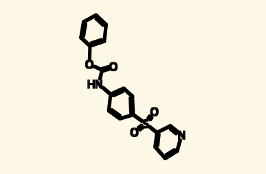 O=C(Nc1ccc(S(=O)(=O)c2cccnc2)cc1)Oc1ccccc1